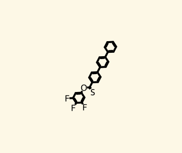 Fc1cc(OC(=S)c2ccc(-c3ccc(-c4ccccc4)cc3)cc2)cc(F)c1F